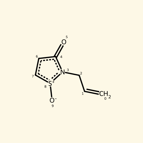 C=CCn1c(=O)cc[s+]1[O-]